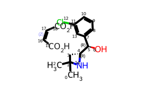 CC1(C)C[C@H]([C@H](O)c2cccc(Cl)c2)N1.O=C(O)/C=C\C(=O)O